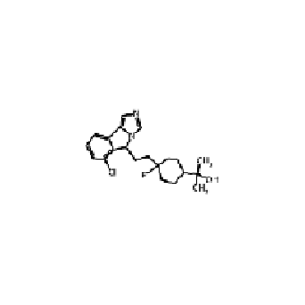 CC(C)(O)C1CCC(F)(CCC2c3c(Cl)cccc3-c3cncn32)CC1